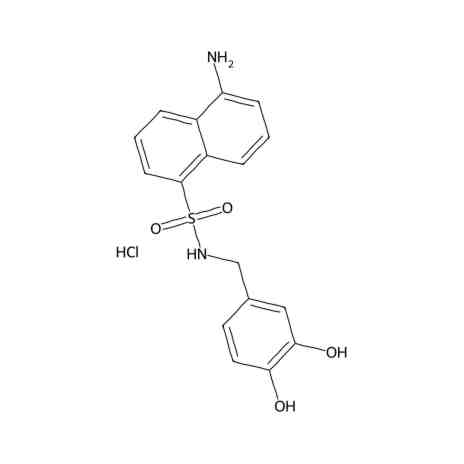 Cl.Nc1cccc2c(S(=O)(=O)NCc3ccc(O)c(O)c3)cccc12